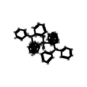 [Cl][Pd]([Cl])([C]12[CH]3[CH]4[CH]5[C]1(P(c1ccccc1)c1ccccc1)[Fe]45321678[CH]2[CH]1[CH]6[CH]7[CH]28)[C]12[CH]3[CH]4[CH]5[C]1(P(c1ccccc1)c1ccccc1)[Fe]45321678[CH]2[CH]1[CH]6[CH]7[CH]28